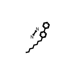 CCCCCCCCc1ccc(-c2ccccc2)cc1.N#CC#N